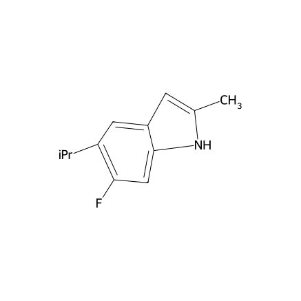 Cc1cc2cc(C(C)C)c(F)cc2[nH]1